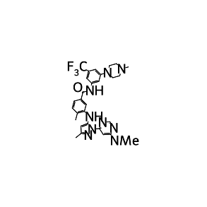 CNc1cc(-n2nc(C)cc2Nc2cc(C(=O)Nc3cc(N4CCN(C)CC4)cc(C(F)(F)F)c3)ccc2C)ncn1